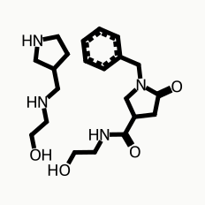 O=C(NCCO)C1CC(=O)N(Cc2ccccc2)C1.OCCNCC1CCNC1